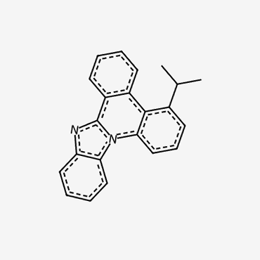 CC(C)c1cccc2c1c1ccccc1c1nc3ccccc3n21